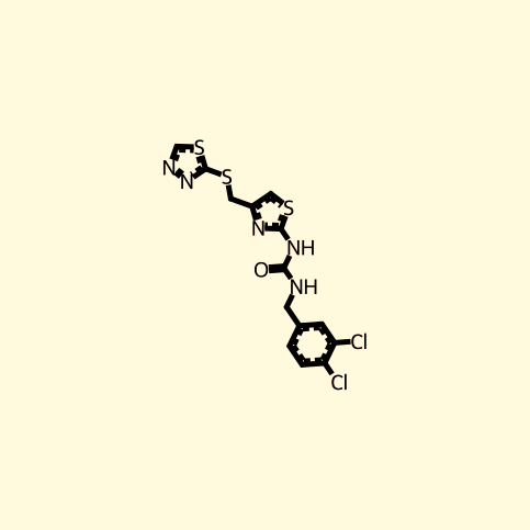 O=C(NCc1ccc(Cl)c(Cl)c1)Nc1nc(CSc2nncs2)cs1